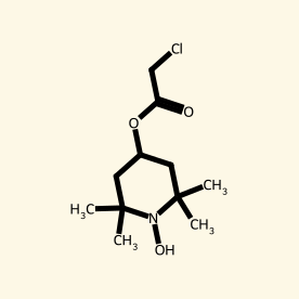 CC1(C)CC(OC(=O)CCl)CC(C)(C)N1O